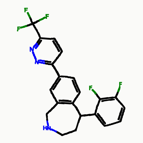 Fc1cccc(C2CCNCc3cc(-c4ccc(C(F)(F)F)nn4)ccc32)c1F